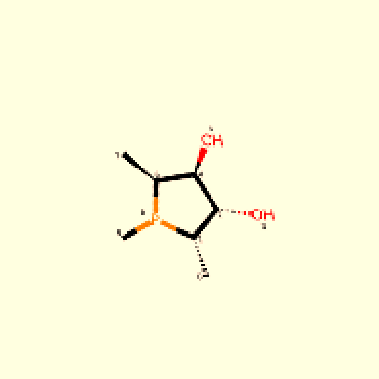 C[C@H]1[C@@H](O)[C@H](O)[C@H](C)P1C